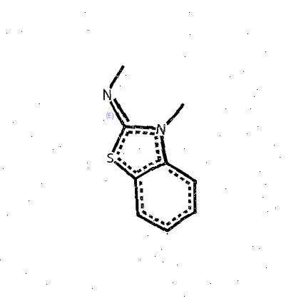 C/N=c1/sc2c[c]ccc2n1C